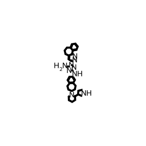 Nc1nc(Nc2ccc3c(c2)CCC(N2CCCCC2C2CCNC2)CC3)nn1-c1cc2c(nn1)-c1ccccc1CCC2